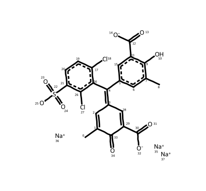 CC1=CC(=C(c2cc(C)c(O)c(C(=O)[O-])c2)c2c(Cl)ccc(S(=O)(=O)[O-])c2Cl)C=C(C(=O)[O-])C1=O.[Na+].[Na+].[Na+]